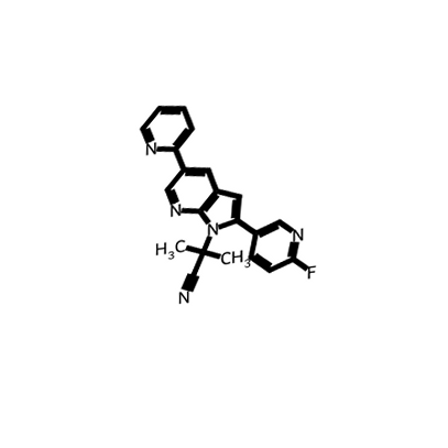 CC(C)(C#N)n1c(-c2ccc(F)nc2)cc2cc(-c3ccccn3)cnc21